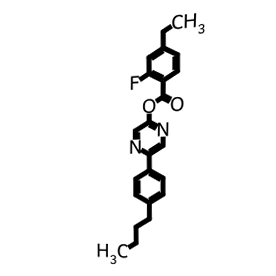 CCCCc1ccc(-c2cnc(OC(=O)c3ccc(CC)cc3F)cn2)cc1